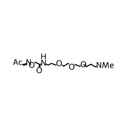 CNCCCOCCOCCOCCCNC(=O)CON=CC(C)=O